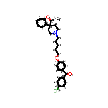 CCCC(=O)C1(c2ccccc2)CCN(CCCCCOc2ccc(C(=O)c3ccc(Cl)cc3)cc2)CC1